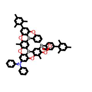 Cc1cc(C)c(-c2cc3c4c(c2)Oc2c(cc5c(c2C)Oc2cc(N(c6ccccc6)c6ccccc6)cc6c2B5c2cc5c(c(C)c2O6)Oc2cc(-c6c(C)cc(C)cc6C)cc6c2B5c2ccccc2O6)B4c2ccccc2O3)c(C)c1